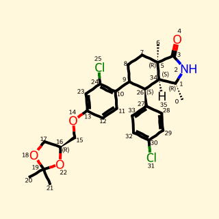 C[C@H]1NC(=O)[C@]2(C)CCC(c3ccc(OC[C@@H]4COC(C)(C)O4)cc3Cl)[C@H](c3ccc(Cl)cc3)[C@H]12